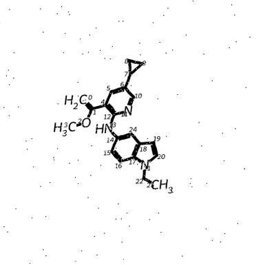 C=C(OC)c1cc(C2CC2)cnc1Nc1ccc2c(ccn2CC)c1